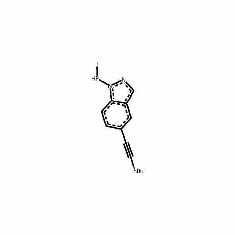 CCCCC#Cc1ccc2c(cnn2PI)c1